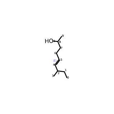 CCC(C)/C=C/CCC(C)O